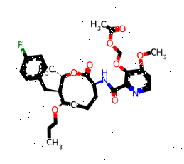 CCCO[C@H]1CCC[C@H](NC(=O)c2nccc(OC)c2OCOC(C)=O)C(=O)O[C@@H](C)[C@@H]1Cc1ccc(F)cc1